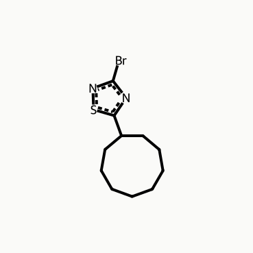 Brc1nsc(C2CCCCCCCC2)n1